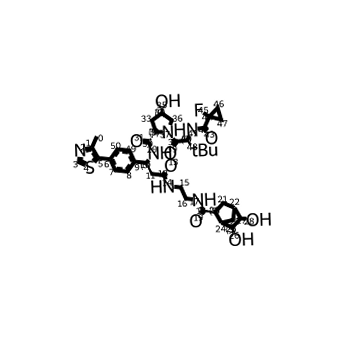 Cc1ncsc1-c1ccc([C@H](CC(=O)NCCNC(=O)[C@H]2CC3CC2[C@H](O)C3O)NC(=O)[C@@H]2C[C@@H](O)CN2C(=O)[C@@H](NC(=O)C2(F)CC2)C(C)(C)C)cc1